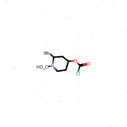 CC(C)(C)C1CC(OC(=O)Cl)CCN1C(=O)O